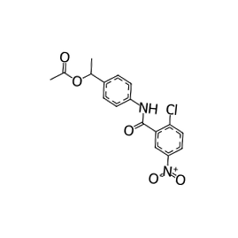 CC(=O)OC(C)c1ccc(NC(=O)c2cc([N+](=O)[O-])ccc2Cl)cc1